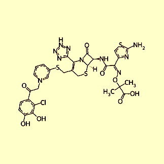 CC(C)(O/N=C(\C(=O)N[C@@H]1C(=O)N2C(c3nn[nH]n3)=C(CSc3ccc[n+](CC(=O)c4ccc(O)c(O)c4Cl)c3)CS[C@H]12)c1csc(N)n1)C(=O)O